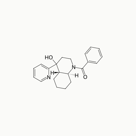 O=C(c1ccccc1)N1CCC(O)(c2ccccn2)[C@H]2CCCC[C@@H]21